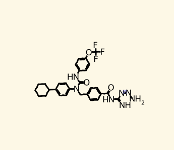 N=C(/N=N\N)NC(=O)c1ccc(CN(C(=O)Nc2ccc(OC(F)(F)F)cc2)c2ccc(C3CCCCC3)cc2)cc1